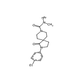 CCCN(C)C(=O)N1CCC2(CC1)CCN(c1ccc(CC)cc1)C2=O